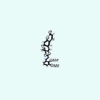 COc1cccc(/C=C/C(=O)OC2Cc3cc4ccc(=O)oc4cc3OC2(C)C)c1OC